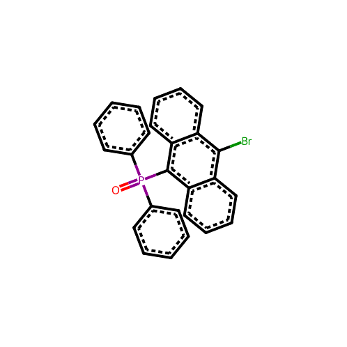 O=P(c1ccccc1)(c1ccccc1)c1c2ccccc2c(Br)c2ccccc12